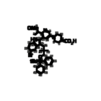 COC(C)c1ncc(N2CCN(C(=O)O)CC2)cc1-c1[nH]c2ccc(Br)cc2c1CC(C)(C)CO[Si](c1ccccc1)(c1ccccc1)C(C)(C)C